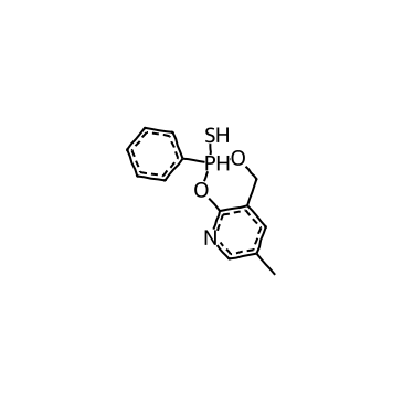 Cc1cnc2c(c1)CO[PH](S)(c1ccccc1)O2